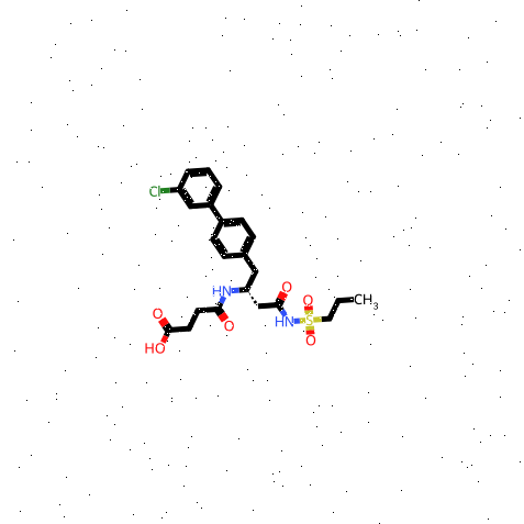 CCCS(=O)(=O)NC(=O)C[C@@H](Cc1ccc(-c2cccc(Cl)c2)cc1)NC(=O)CCC(=O)O